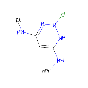 CCCNC1=CC(NCC)=NN(Cl)N1